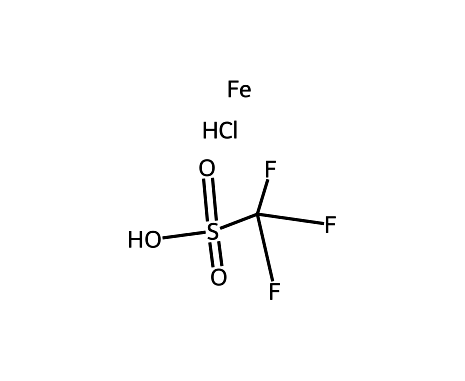 Cl.O=S(=O)(O)C(F)(F)F.[Fe]